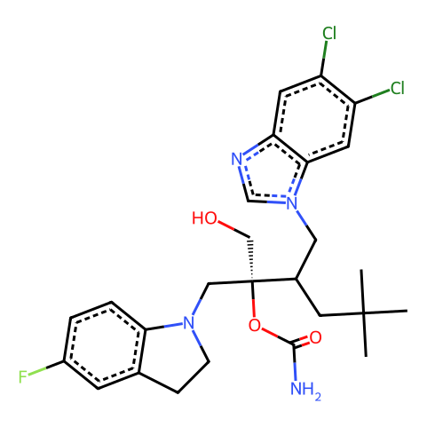 CC(C)(C)CC(Cn1cnc2cc(Cl)c(Cl)cc21)[C@](CO)(CN1CCc2cc(F)ccc21)OC(N)=O